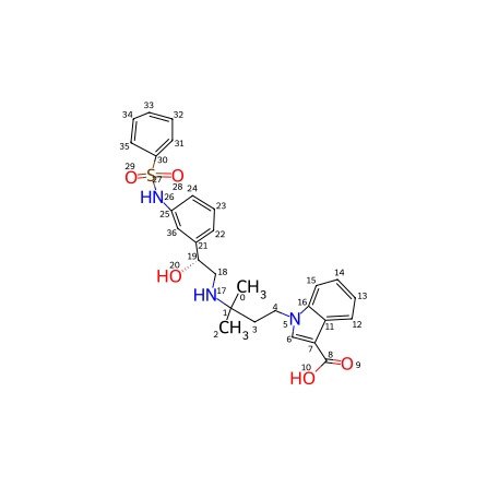 CC(C)(CCn1cc(C(=O)O)c2ccccc21)NC[C@H](O)c1cccc(NS(=O)(=O)c2ccccc2)c1